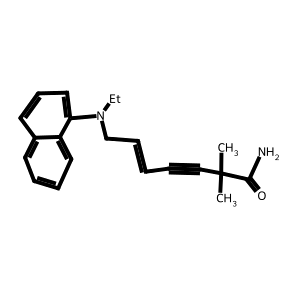 CCN(CC=CC#CC(C)(C)C(N)=O)c1cccc2ccccc12